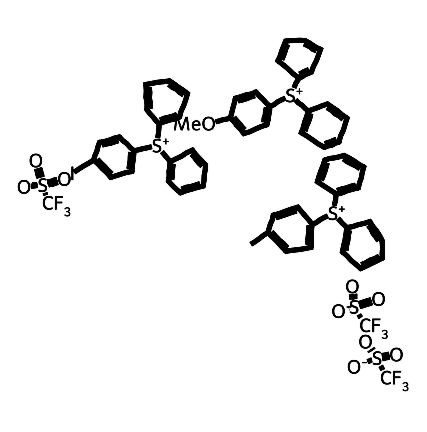 COc1ccc([S+](c2ccccc2)c2ccccc2)cc1.Cc1ccc([S+](c2ccccc2)c2ccccc2)cc1.Ic1ccc([S+](c2ccccc2)c2ccccc2)cc1.O=S(=O)([O-])C(F)(F)F.O=S(=O)([O-])C(F)(F)F.O=S(=O)([O-])C(F)(F)F